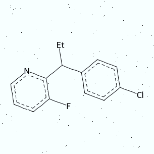 CCC(c1ccc(Cl)cc1)c1ncccc1F